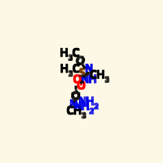 CCN(N)c1ccc(COC(=O)Nc2sc(-c3ccc(C)cc3C)nc2C)cc1N